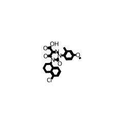 COc1ccc(-n2nc(C(=O)O)c(=O)n(C3CCCc4c(Cl)cccc43)c2=O)c(C)c1